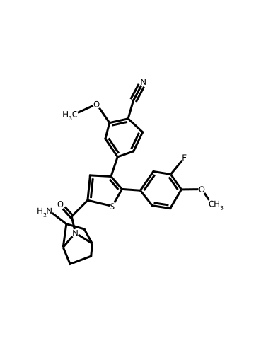 COc1ccc(-c2sc(C(=O)N3C4CCC3C(N)C4)cc2-c2ccc(C#N)c(OC)c2)cc1F